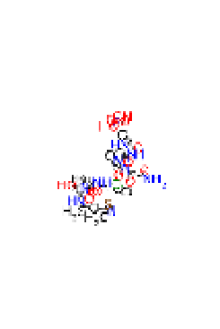 Cc1ncsc1-c1ccc([C@H](C)NC(=O)[C@@H]2C[C@@H](O)CN2C(=O)[C@@H](NC(=O)CCCCc2cccc(OC[C@H](CCC(N)=O)NC(=O)[C@@H]3Cc4cccc5c4N3C(=O)[C@@H](NC(=O)c3cc4cc(C(=O)P(=O)(O)O)ccc4[nH]3)CC5)c2Cl)C(C)(C)C)cc1